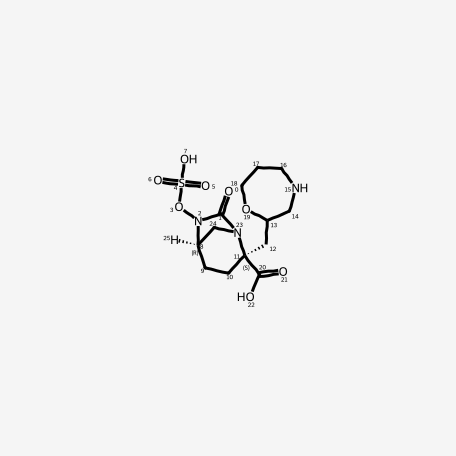 O=C1N(OS(=O)(=O)O)[C@@H]2CC[C@](CC3CNCCCO3)(C(=O)O)N1C2